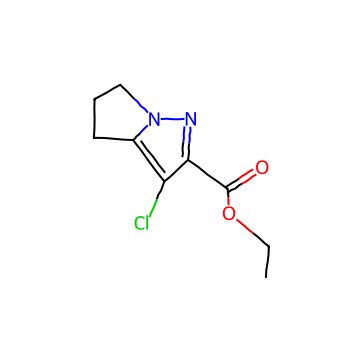 CCOC(=O)c1nn2c(c1Cl)CCC2